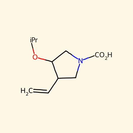 C=CC1CN(C(=O)O)CC1OC(C)C